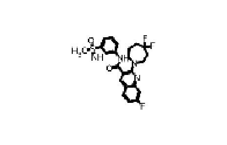 CS(=N)(=O)c1cccc(NC(=O)c2cc3ccc(F)cc3nc2N2CCCC(F)(F)CC2)c1